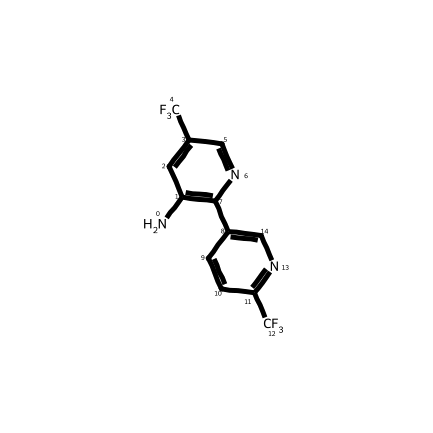 Nc1cc(C(F)(F)F)cnc1-c1ccc(C(F)(F)F)nc1